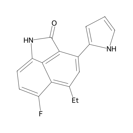 CCc1cc(-c2ccc[nH]2)c2c3c(ccc(F)c13)NC2=O